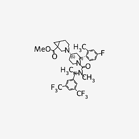 COC(=O)C12CC1CCN([C@H]1CCN(C(=O)N(C)[C@H](C)c3cc(C(F)(F)F)cc(C(F)(F)F)c3)[C@@H](c3ccc(F)cc3C)C1)C2